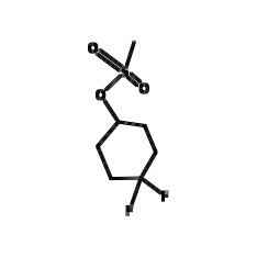 CS(=O)(=O)OC1CCC(F)(F)CC1